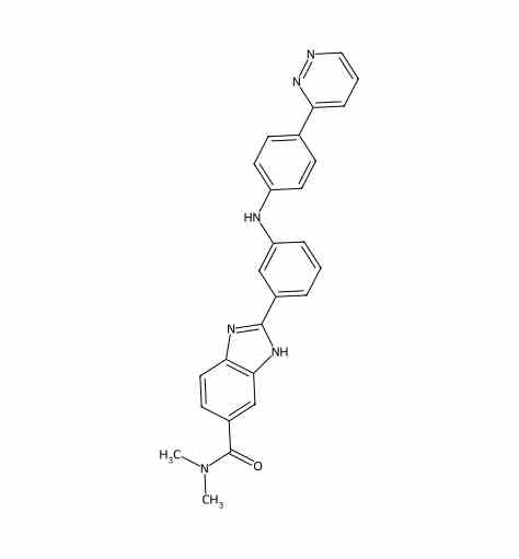 CN(C)C(=O)c1ccc2nc(-c3cccc(Nc4ccc(-c5cccnn5)cc4)c3)[nH]c2c1